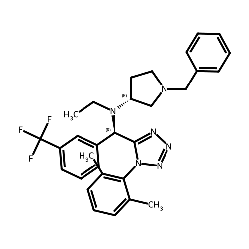 CCN([C@@H]1CCN(Cc2ccccc2)C1)[C@H](c1cccc(C(F)(F)F)c1)c1nnnn1-c1c(C)cccc1C